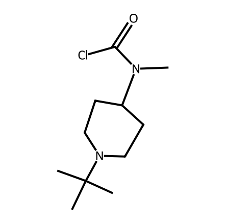 CN(C(=O)Cl)C1CCN(C(C)(C)C)CC1